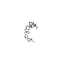 Cc1ccc(CC(=O)Cc2ccc(N(C)C)cc2)cc1